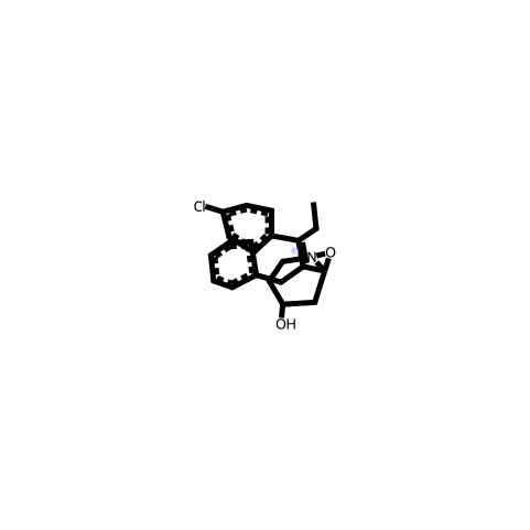 CC/C(=C(/Cc1ccccc1)C12CC(O)CCN1O2)c1ccc(Cl)cc1